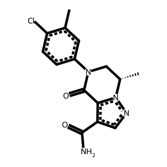 Cc1cc(N2C[C@H](C)n3ncc(C(N)=O)c3C2=O)ccc1Cl